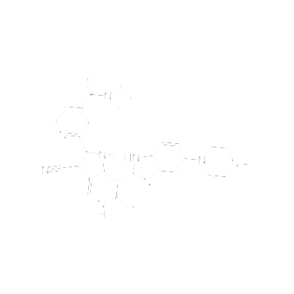 CN1CCN(c2ccc3[nH]c(-c4c(=O)[nH]cc5c(C#N)c(-c6cc(C(=O)N7CCC7)ccn6)[nH]c45)nc3c2)CC1